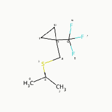 CC(C)SCC1(C(F)(F)F)CC1